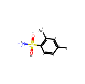 CC(=O)c1cc(C)ccc1S(N)(=O)=O